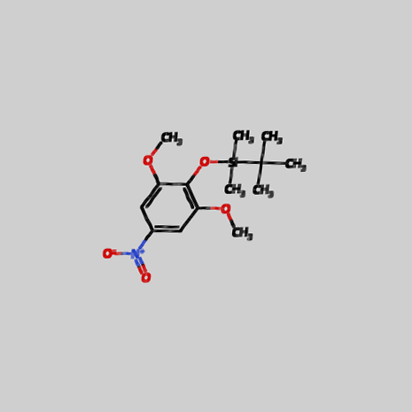 COc1cc([N+](=O)[O-])cc(OC)c1O[Si](C)(C)C(C)(C)C